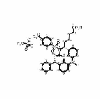 Cn1c2ccccc2[c+](C(=O)N(CCCCCC(=O)O)S(=O)(=O)c2ccc([N+](=O)[O-])cc2)c2c(Cc3ccccc3)cccc21.O=S(=O)([O-])C(F)(F)F